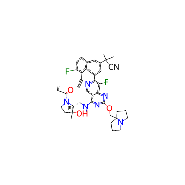 C#Cc1c(F)ccc2cc(C(C)(C)C#N)cc(-c3ncc4c(N(C)C[C@H]5N(C(=O)C=C)CCC5(C)O)nc(OCC56CCCN5CCC6)nc4c3F)c12